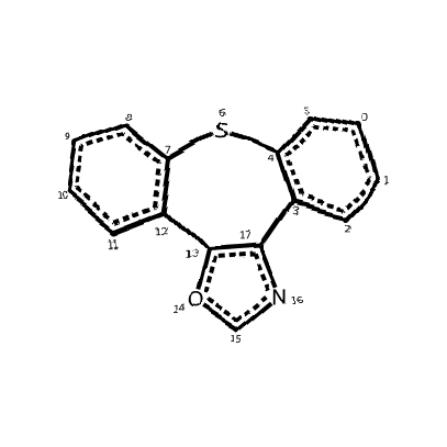 c1ccc2c(c1)Sc1ccccc1-c1ocnc1-2